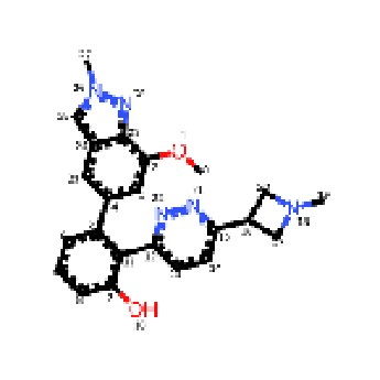 COc1cc(-c2cccc(O)c2-c2ccc(C3CN(C)C3)nn2)cc2cn(C)nc12